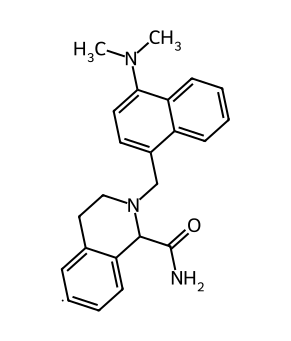 CN(C)c1ccc(CN2CCc3c[c]ccc3C2C(N)=O)c2ccccc12